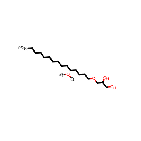 CCCCCCCCCCCCCCCCCCCCCCCCOCC(O)CO.CCOCC